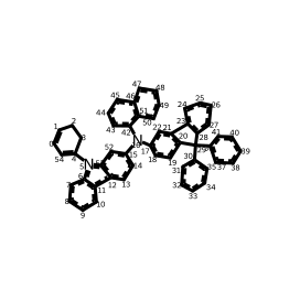 C1=CCCC(n2c3ccccc3c3ccc(N(c4ccc5c(c4)-c4ccccc4C5(c4ccccc4)c4ccccc4)c4cccc5ccccc45)cc32)=C1